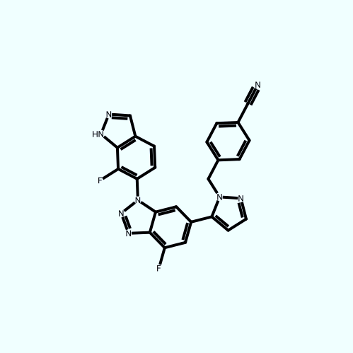 N#Cc1ccc(Cn2nccc2-c2cc(F)c3nnn(-c4ccc5cn[nH]c5c4F)c3c2)cc1